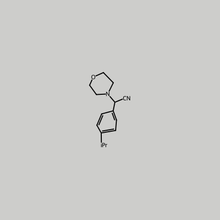 CC(C)c1ccc(C(C#N)N2CCOCC2)cc1